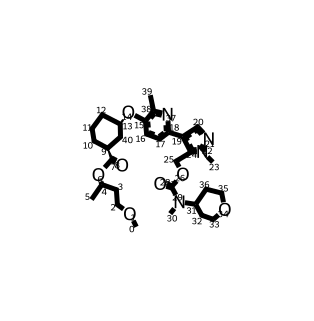 COCCC(C)OC(=O)[C@H]1CCC[C@H](Oc2ccc(-c3cnn(C)c3COC(=O)N(C)C3CCOCC3)nc2C)C1